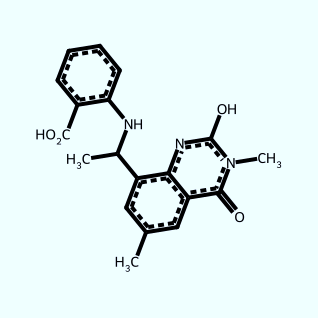 Cc1cc(C(C)Nc2ccccc2C(=O)O)c2nc(O)n(C)c(=O)c2c1